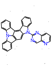 c1cnc2cnc(-n3c4ccccc4c4c5c6ccccc6n6c7ccccc7c(cc43)c56)nc2c1